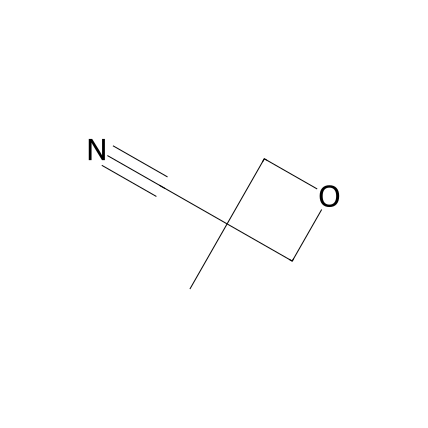 CC1(C#N)COC1